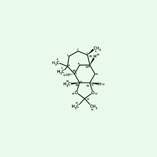 C[C@@H]1CCC(C)(C)[C@H]2C[C@H]1C[C@@H]1OC(C)(C)O[C@@]12C